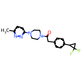 Cc1ccc(N2CCN(C(=O)Cc3ccc(C4CC4(F)F)cc3)CC2)nn1